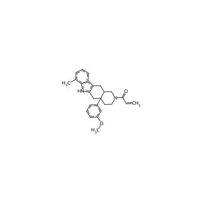 C=CC(=O)N1CCC2(c3cccc(OC)c3)Cc3[nH]c4c(C)cccc4c3CC2C1